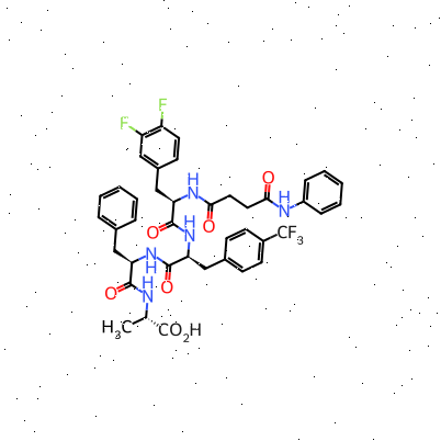 C[C@H](NC(=O)[C@@H](Cc1ccccc1)NC(=O)[C@H](Cc1ccc(C(F)(F)F)cc1)NC(=O)[C@@H](Cc1ccc(F)c(F)c1)NC(=O)CCC(=O)Nc1ccccc1)C(=O)O